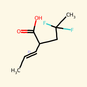 C/C=C/C(CC(C)(F)F)C(=O)O